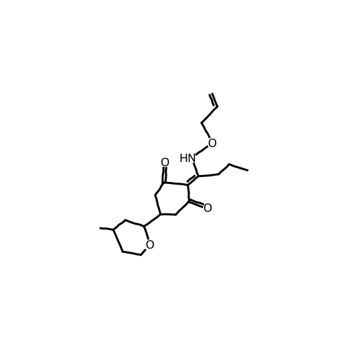 C=CCONC(CCC)=C1C(=O)CC(C2CC(C)CCO2)CC1=O